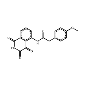 COc1ccc(CC(=O)Nc2cccc3c2C(=O)C(=O)NC3=O)cc1